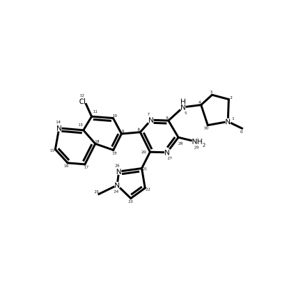 CN1CCC(Nc2nc(-c3cc(Cl)c4ncccc4c3)c(-c3ccn(C)n3)nc2N)C1